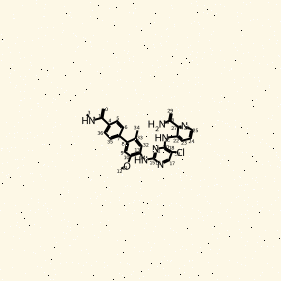 C=C(NC)c1ccc(-c2cc(OC)c(Nc3ncc(Cl)c(Nc4cccnc4C(=C)N)n3)cc2C)cc1